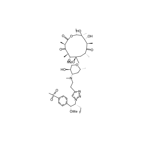 CO[C@H](c1ccc(S(C)(=O)=O)cc1)[C@@H](CF)n1cc(CCN(C)[C@H]2C[C@@H](C)O[C@@H](O[C@@H]3[C@@H](C)C(=O)[C@@H](C)C(=O)O[C@H](I)[C@@](C)(O)[C@H](O)[C@@H](C)C(=O)[C@H](C)C[C@@]3(C)OC)[C@@H]2O)nn1